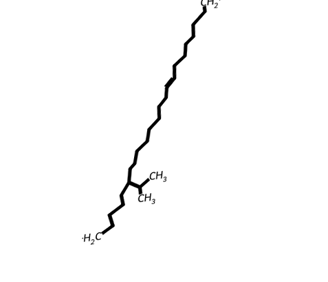 [CH2]CCCCCCC=CCCCCCCCCC(CCCC[CH2])C(C)C